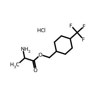 CC(N)C(=O)OCC1CCC(C(F)(F)F)CC1.Cl